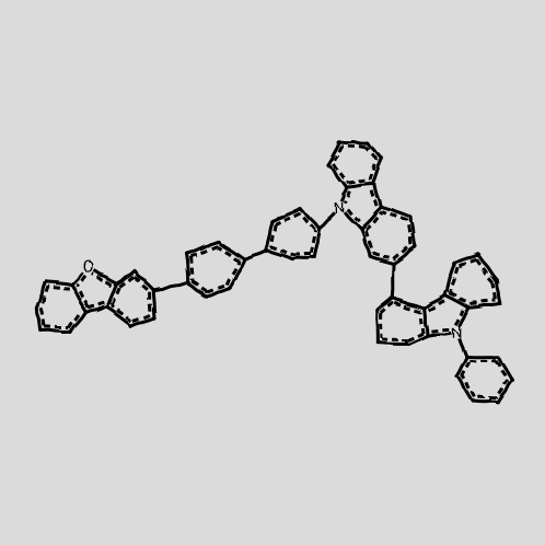 c1ccc(-n2c3ccccc3c3c(-c4ccc5c6ccccc6n(-c6ccc(-c7ccc(-c8ccc9c(c8)oc8ccccc89)cc7)cc6)c5c4)cccc32)cc1